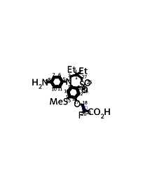 CCC1(CC)CN(c2ccc(N)cc2)c2cc(SC)c(O/C=C(\F)C(=O)O)cc2S(=O)(=O)C1